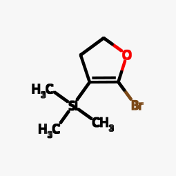 C[Si](C)(C)C1=C(Br)OCC1